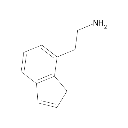 NCCc1cccc2c1CC=C2